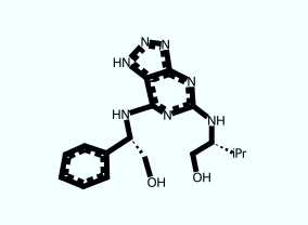 CC(C)[C@H](CO)Nc1nc(N[C@H](CO)c2ccccc2)c2[nH]nnc2n1